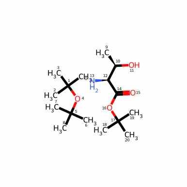 CC(C)(C)OC(C)(C)C.C[C@@H](O)[C@H](N)C(=O)OC(C)(C)C